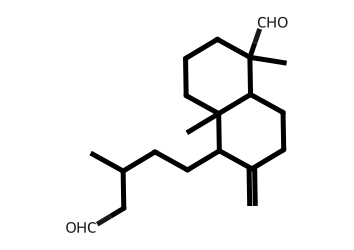 C=C1CCC2C(C)(C=O)CCCC2(C)C1CCC(C)CC=O